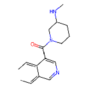 C/C=c1/c(C(=O)N2CCCC(NC)C2)cnc/c1=C/C